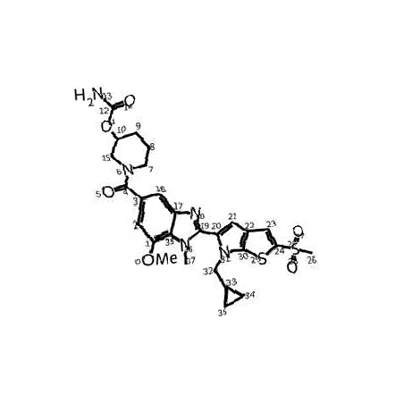 COc1cc(C(=O)N2CCCC(OC(N)=O)C2)cc2nc(-c3cc4cc(S(C)(=O)=O)sc4n3CC3CC3)n(C)c12